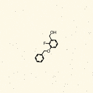 OCc1cccc(OCc2ccccc2)c1F